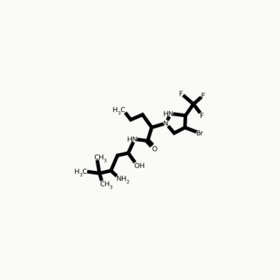 CCCC(C(=O)NC(O)CC(N)C(C)(C)C)N1CC(Br)C(C(F)(F)F)N1